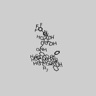 CCC1CC(C(=O)NCCO[C@H]2OC(CO)[C@@H](O)C(n3cc(-c4cc(F)c(F)c(F)c4)nn3)C2O)C[C@@H](O[C@@H]2OC(CO)[C@H](O)C(O[C@@H](CC3CCCCC3)C(=O)O)C2OC(=O)c2ccccc2)C1O[C@@H]1OC(C)[C@@H](O)C(O)C1O